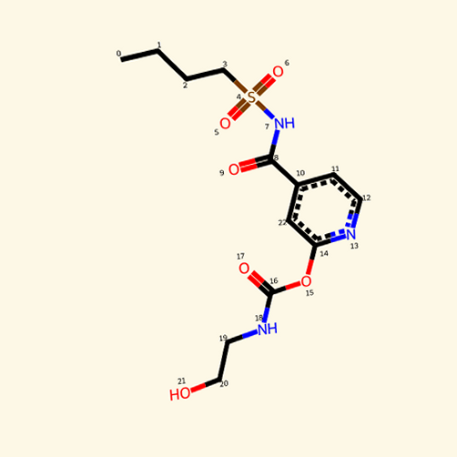 CCCCS(=O)(=O)NC(=O)c1ccnc(OC(=O)NCCO)c1